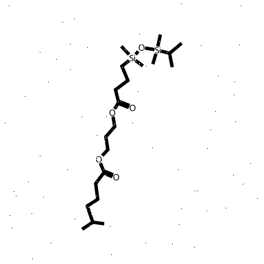 CC(C)CCCC(=O)OCCCOC(=O)CCC[Si](C)(C)O[Si](C)(C)C(C)C